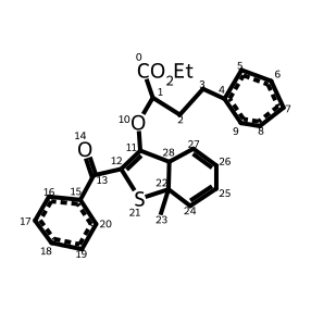 CCOC(=O)C(CCc1ccccc1)OC1=C(C(=O)c2ccccc2)SC2(C)C=CC=CC12